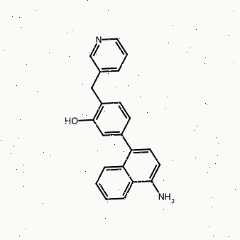 Nc1ccc(-c2ccc(Cc3cccnc3)c(O)c2)c2ccccc12